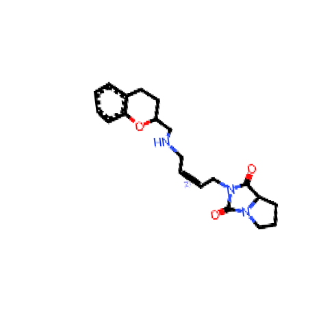 O=C1C2CCCN2C(=O)N1C/C=C\CNCC1CCc2ccccc2O1